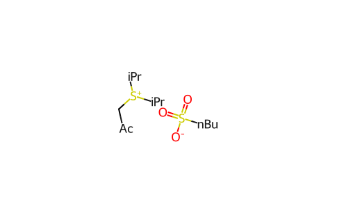 CC(=O)C[S+](C(C)C)C(C)C.CCCCS(=O)(=O)[O-]